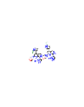 Fc1ccc(-c2cc(N3CCOCC3)nc3c(-c4ccn[nH]4)nccc23)cn1.Fc1ncccc1-c1cc(N2CCOCC2)nc2c(-c3ccn[nH]3)nccc12